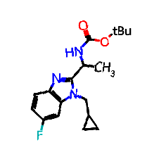 CC(NC(=O)OC(C)(C)C)c1nc2ccc(F)cc2n1CC1CC1